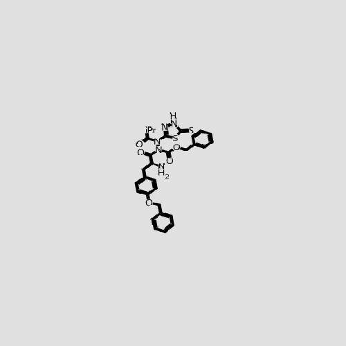 CC(C)C(=O)N(c1n[nH]c(=S)s1)N(C(=O)OCc1ccccc1)C(=O)[C@@H](N)Cc1ccc(OCc2ccccc2)cc1